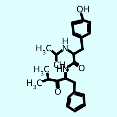 CC(C)NC(Cc1ccc(O)cc1)C(=O)NC(Cc1ccccc1)C(=O)C(C)C